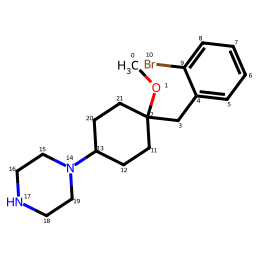 COC1(Cc2ccccc2Br)CCC(N2CCNCC2)CC1